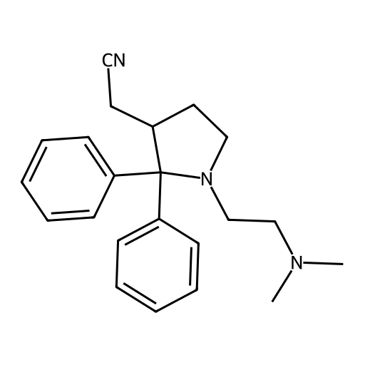 CN(C)CCN1CCC(CC#N)C1(c1ccccc1)c1ccccc1